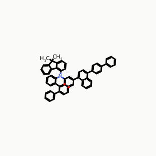 CC1(C)c2ccccc2-c2c(N(c3cccc(-c4ccc(-c5ccc(-c6ccccc6)cc5)c5ccccc45)c3)c3ccccc3-c3ccccc3-c3ccccc3)cccc21